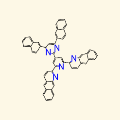 c1ccc2cc(-c3cc(-c4ccc5ccccc5c4)nc(-c4cc(-c5ccc6cc7ccccc7cc6n5)nc(-c5ccc6cc7ccccc7cc6n5)c4)n3)ccc2c1